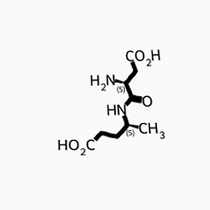 C[C@@H](CCC(=O)O)NC(=O)[C@@H](N)CC(=O)O